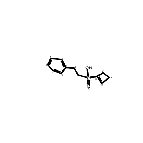 O=P(O)(CCc1ccccc1)C1=CCC1